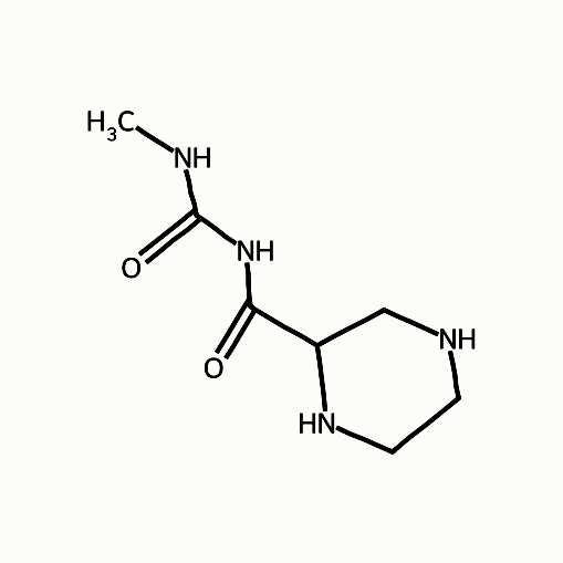 CNC(=O)NC(=O)C1CNCCN1